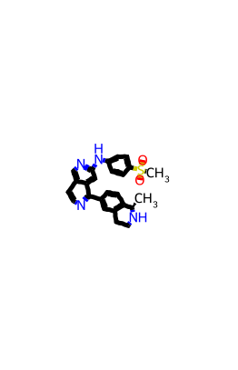 C[C@H]1NCCc2cc(-c3nccc4cnc(Nc5ccc(S(C)(=O)=O)cc5)cc34)ccc21